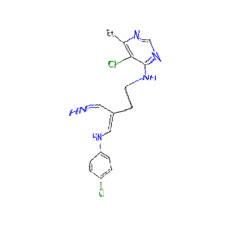 CCc1ncnc(NCC/C(C=N)=C/Nc2ccc(Cl)cc2)c1Cl